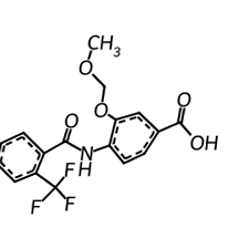 COCOc1cc(C(=O)O)ccc1NC(=O)c1ccccc1C(F)(F)F